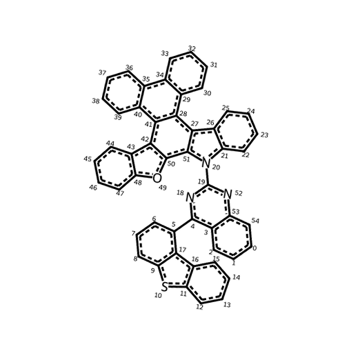 c1ccc2c(-c3cccc4sc5ccccc5c34)nc(-n3c4ccccc4c4c5c6ccccc6c6ccccc6c5c5c6ccccc6oc5c43)nc2c1